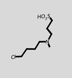 CN(CCCCCl)CCCS(=O)(=O)O